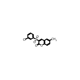 Cc1ccc2oc(=O)c(S(=O)(=O)c3cccc(Cl)c3)cc2c1